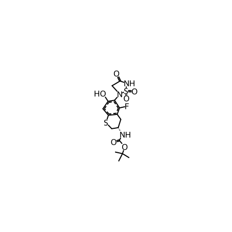 CC(C)(C)OC(=O)N[C@@H]1CSc2cc(O)c(N3CC(=O)NS3(=O)=O)c(F)c2C1